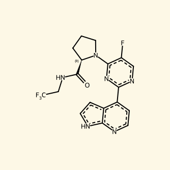 O=C(NCC(F)(F)F)[C@H]1CCCN1c1nc(-c2ccnc3[nH]ccc23)ncc1F